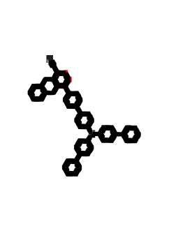 N#Cc1ccc(-c2ccc(-c3ccc(N(c4ccc(-c5ccccc5)cc4)c4ccc(-c5ccccc5)cc4)cc3)cc2)c2c1C1c3ccccc3C2c2ccccc21